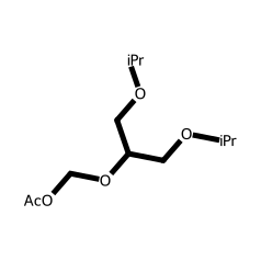 CC(=O)OCOC(COC(C)C)COC(C)C